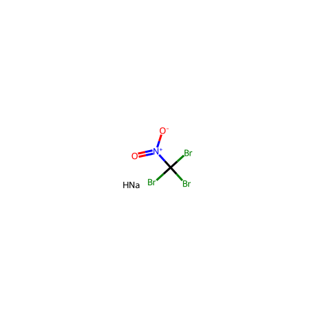 O=[N+]([O-])C(Br)(Br)Br.[NaH]